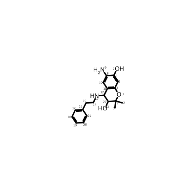 CC1(C)Oc2cc(O)c(N)cc2C(NCCc2ccccc2)C1O